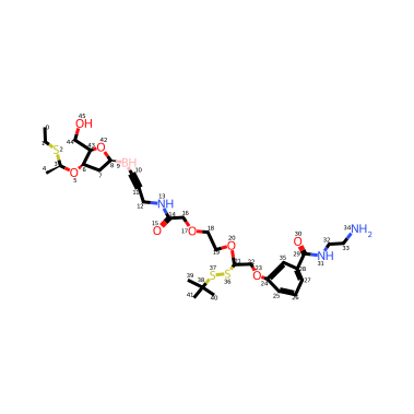 CCS[C@H](C)O[C@@H]1C[C@H](BC#CCNC(=O)COCCOC(COc2cccc(C(=O)NCCN)c2)SSC(C)(C)C)OC1CO